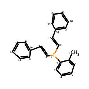 Cc1ccccc1P(C=Cc1ccccc1)C=Cc1ccccc1